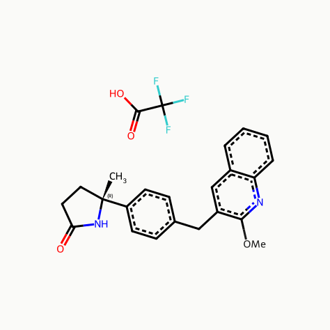 COc1nc2ccccc2cc1Cc1ccc([C@@]2(C)CCC(=O)N2)cc1.O=C(O)C(F)(F)F